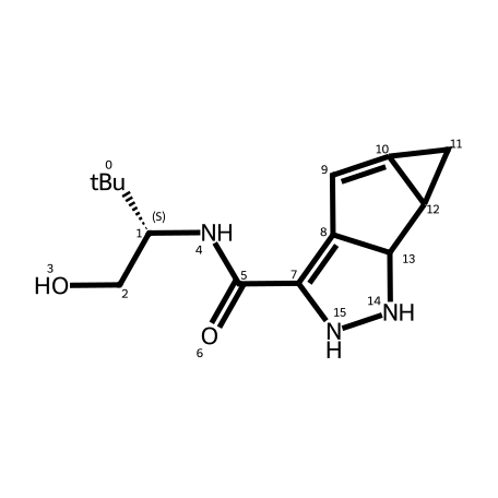 CC(C)(C)[C@@H](CO)NC(=O)C1=C2C=C3CC3C2NN1